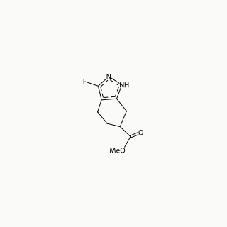 COC(=O)C1CCc2c(I)n[nH]c2C1